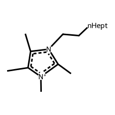 CCCCCCCCCn1c(C)c(C)[n+](C)c1C